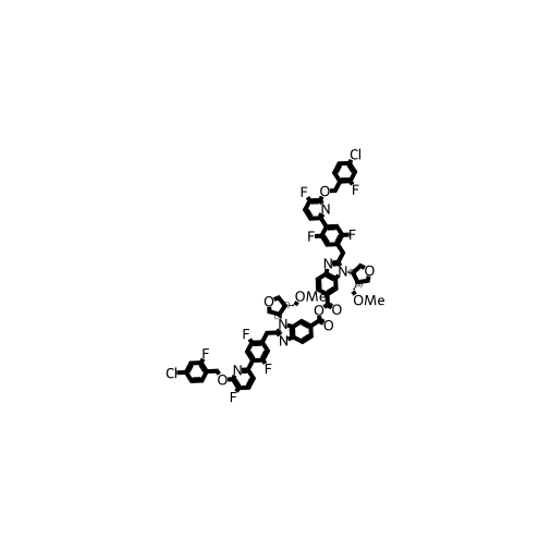 COC[C@H]1COC[C@H]1n1c(Cc2cc(F)c(-c3ccc(F)c(OCc4ccc(Cl)cc4F)n3)cc2F)nc2ccc(C(=O)OC(=O)c3ccc4nc(Cc5cc(F)c(-c6ccc(F)c(OCc7ccc(Cl)cc7F)n6)cc5F)n([C@@H]5COC[C@@H]5COC)c4c3)cc21